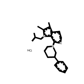 Cc1c(C)n(CC(C)C)c2c(N3CCCC(c4ccccc4)C3)nccc12.Cl